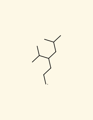 [CH2]CCC(CC(C)C)C(C)C